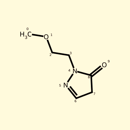 COCCN1N=CCC1=O